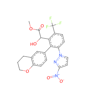 COC(=O)C(O)c1c(C(F)(F)F)ccc(-n2ccc([N+](=O)[O-])n2)c1-c1ccc2c(c1)CCCO2